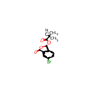 CC(C)(C)C(=O)OC1OC(=O)c2cc(Br)ccc21